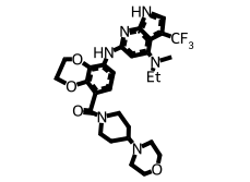 CCN(C)c1cc(Nc2ccc(C(=O)N3CCC(N4CCOCC4)CC3)c3c2OCCO3)nc2[nH]cc(C(F)(F)F)c12